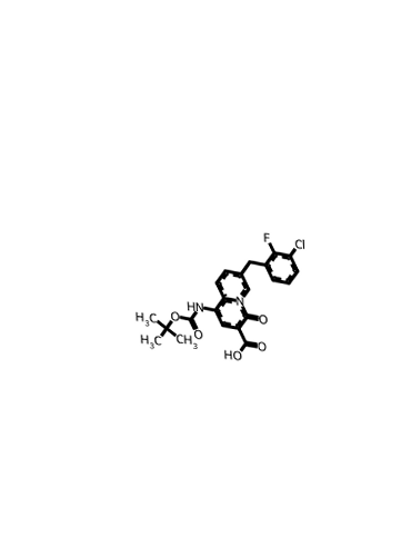 CC(C)(C)OC(=O)Nc1cc(C(=O)O)c(=O)n2cc(Cc3cccc(Cl)c3F)ccc12